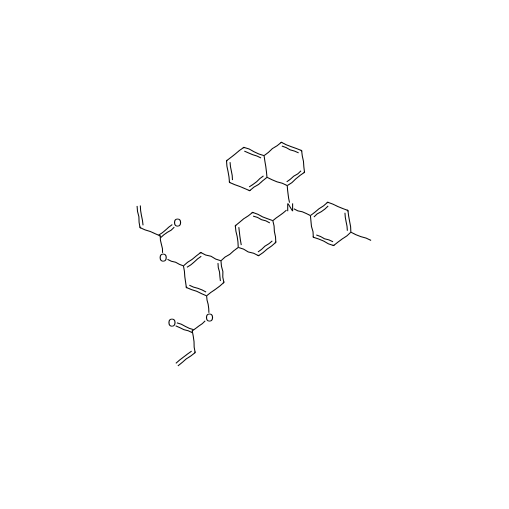 C=CC(=O)Oc1cc(OC(=O)C=C)cc(-c2ccc(N(c3ccc(C)cc3)c3cccc4ccccc34)cc2)c1